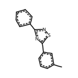 Cc1cccc(-c2nc(-c3ccccc3)ns2)c1